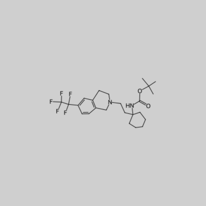 CC(C)(C)OC(=O)NC1(CCN2CCc3cc(C(F)(F)C(F)(F)F)ccc3C2)CCCCC1